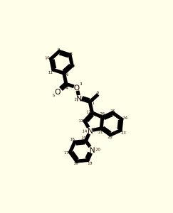 C/C(=N\OC(=O)c1ccccc1)c1cn(-c2ccccn2)c2ccccc12